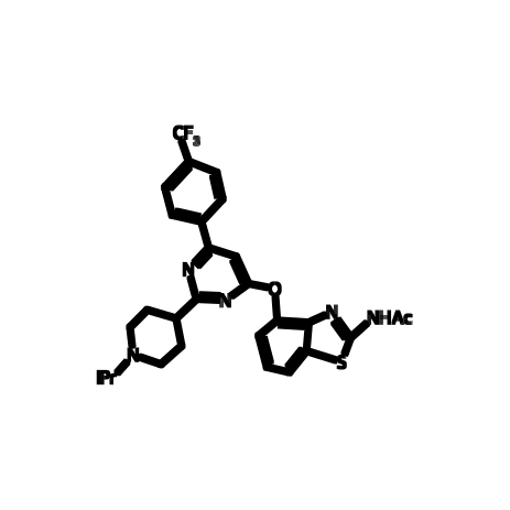 CC(=O)Nc1nc2c(Oc3cc(-c4ccc(C(F)(F)F)cc4)nc(C4CCN(C(C)C)CC4)n3)cccc2s1